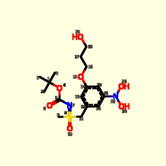 CC(C)(C)OC(=O)N=S(C)(=O)Cc1cc(OCCCO)cc(N(O)O)c1